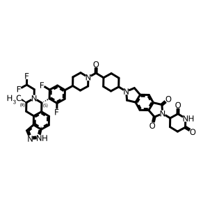 C[C@@H]1Cc2c(ccc3[nH]ncc23)[C@@H](c2c(F)cc(C3CCN(C(=O)C4CCC(N5Cc6cc7c(cc6C5)C(=O)N(C5CCC(=O)NC5=O)C7=O)CC4)CC3)cc2F)N1CC(F)F